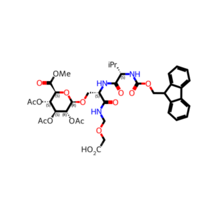 COC(=O)[C@H]1O[C@@H](OC[C@H](NC(=O)[C@@H](NC(=O)OCC2c3ccccc3-c3ccccc32)C(C)C)C(=O)NCOCC(=O)O)[C@H](OC(C)=O)[C@@H](OC(C)=O)[C@@H]1OC(C)=O